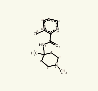 CN1CCC(C)(NC(=O)c2ncccc2Cl)CC1